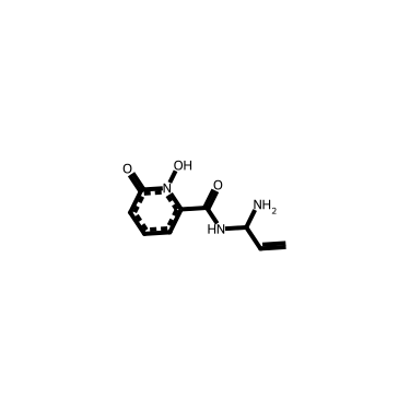 C=CC(N)NC(=O)c1cccc(=O)n1O